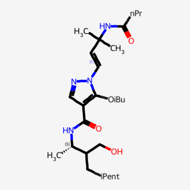 CCCC(=O)NC(C)(C)/C=C/n1ncc(C(=O)N[C@@H](C)C(CO)CC(C)CCC)c1OCC(C)C